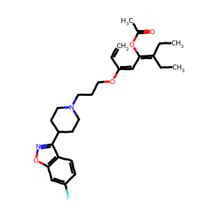 C=C/C(=C\C(OC(C)=O)=C(CC)CC)OCCCN1CCC(c2noc3cc(F)ccc23)CC1